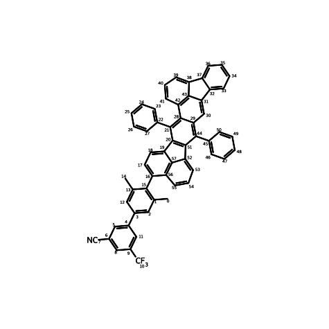 Cc1cc(-c2cc(C#N)cc(C(F)(F)F)c2)cc(C)c1-c1ccc2c3c(-c4ccccc4)c4c(cc5c6ccccc6c6cccc4c65)c(-c4ccccc4)c3c3cccc1c32